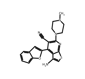 CN1CCN(c2nc3scc(N)c3c(-c3cc4ccccc4o3)c2C#N)CC1